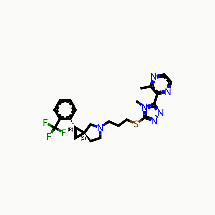 Cc1nccnc1-c1nnc(SCCCN2CC[C@]3(C[C@@H]3c3ccccc3C(F)(F)F)C2)n1C